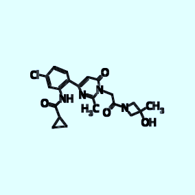 Cc1nc(-c2ccc(Cl)cc2NC(=O)C2CC2)cc(=O)n1CC(=O)N1CC(C)(O)C1